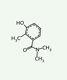 Cc1c(O)cccc1C(=O)N(C)C